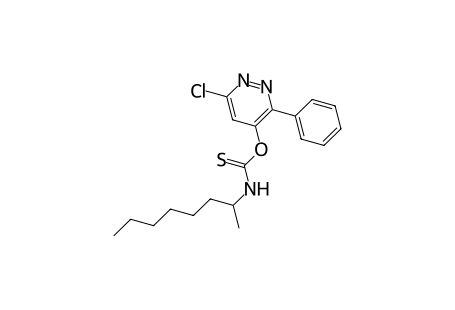 CCCCCCC(C)NC(=S)Oc1cc(Cl)nnc1-c1ccccc1